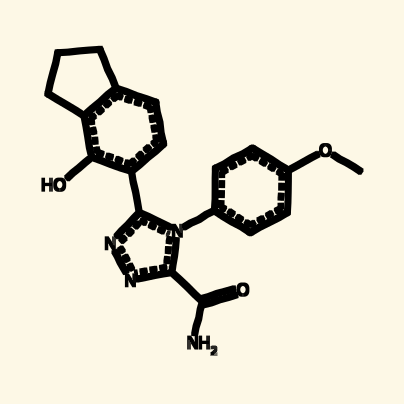 COc1ccc(-n2c(C(N)=O)nnc2-c2ccc3c(c2O)CCC3)cc1